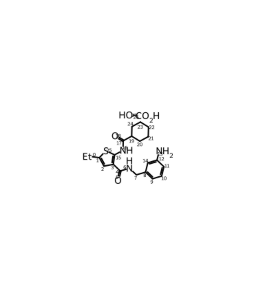 CCc1cc(C(=O)NCc2cccc(N)c2)c(NC(=O)C2CCCCC2)s1.O=C(O)O